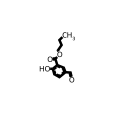 CCCCOC(=O)c1cc(C=O)ccc1O